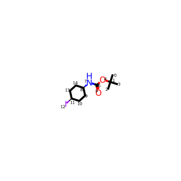 CC(C)(C)OC(=O)N[C@H]1CC[C@@H](I)CC1